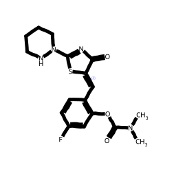 CN(C)C(=O)Oc1cc(F)ccc1/C=C1\SC(N2CCCCN2)=NC1=O